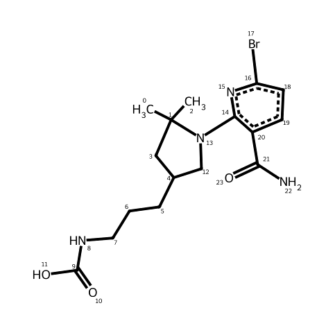 CC1(C)CC(CCCNC(=O)O)CN1c1nc(Br)ccc1C(N)=O